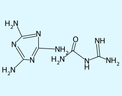 N=C(N)NC(N)=O.Nc1nc(N)nc(N)n1